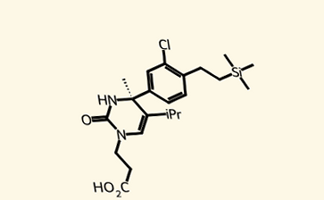 CC(C)C1=CN(CCC(=O)O)C(=O)N[C@@]1(C)c1ccc(CC[Si](C)(C)C)c(Cl)c1